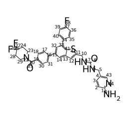 Nc1ccc(CNC(=O)NCc2cc3cc(-c4ccc(C(=O)N5CCC(F)(F)CC5)cc4)cc(-c4ccc(F)cc4)c3s2)cn1